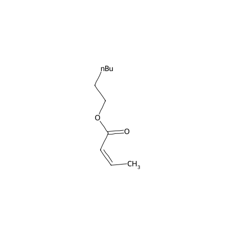 C/C=C\C(=O)OCCCCCC